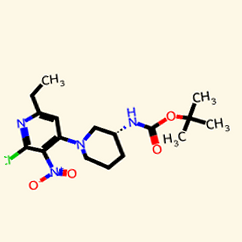 CCc1cc(N2CCC[C@@H](NC(=O)OC(C)(C)C)C2)c([N+](=O)[O-])c(Cl)n1